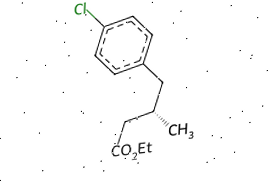 CCOC(=O)C[C@@H](C)Cc1ccc(Cl)cc1